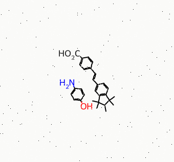 CC1C(C)(C)c2ccc(C=Cc3ccc(C(=O)O)cc3)cc2C1(C)C.Nc1ccc(O)cc1